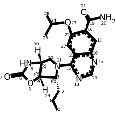 CCC[C@@H]1[C@@H]2OC(=O)N[C@@H]2CN1c1ncnc2cc(C(N)=O)c(OC(C)C)cc12